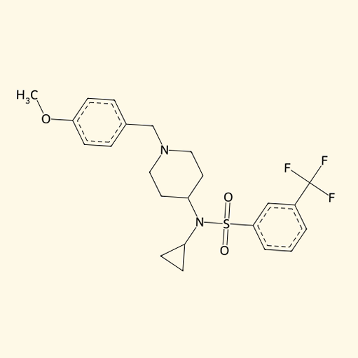 COc1ccc(CN2CCC(N(C3CC3)S(=O)(=O)c3cccc(C(F)(F)F)c3)CC2)cc1